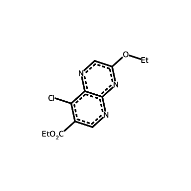 CCOC(=O)c1cnc2nc(OCC)cnc2c1Cl